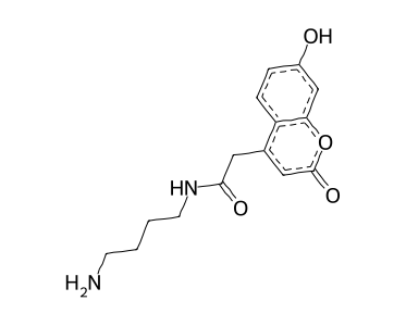 NCCCCNC(=O)Cc1cc(=O)oc2cc(O)ccc12